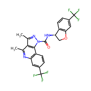 Cc1nc2cc(C(F)(F)F)ccc2c2c1c(C)nn2C(=O)N[C@@H]1COc2cc(C(F)(F)F)ccc21